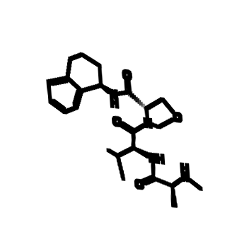 CN[C@@H](C)C(=O)N[C@H](C(=O)N1COC[C@H]1C(=O)N[C@@H]1CCCc2ccccc21)C(C)C